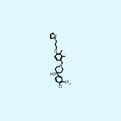 Cc1c(CN2CCC(O)(c3ccc(Cl)c(C(F)(F)F)c3)CC2)ccc(OCCCn2cccn2)c1C